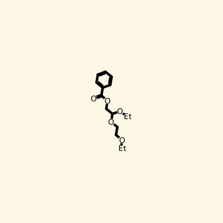 CCOCCOC(COC(=O)c1ccccc1)OCC